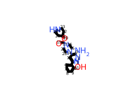 Nc1nnc(-c2ccccc2O)cc1N1CCN(C(=O)OC2CCNCC2)CC1